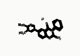 COc1ncc(-c2ccc3nc(N)n(-c4ccccc4)c(=O)c3c2)cc1C(=O)O.[Li]